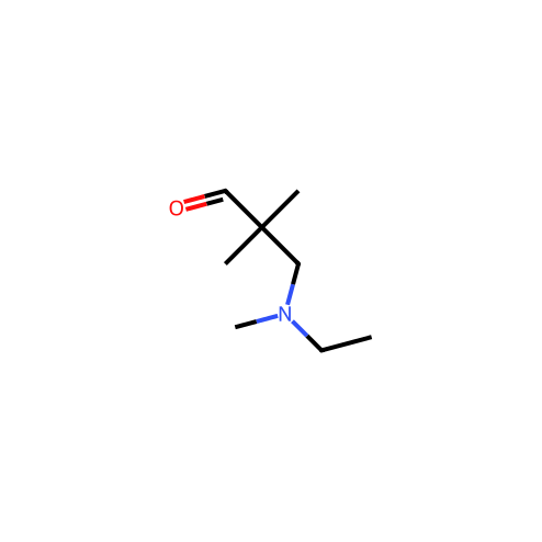 CCN(C)CC(C)(C)C=O